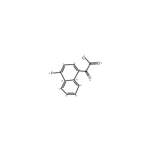 O=C(Cl)C(=O)c1ccc(F)c2ccccc12